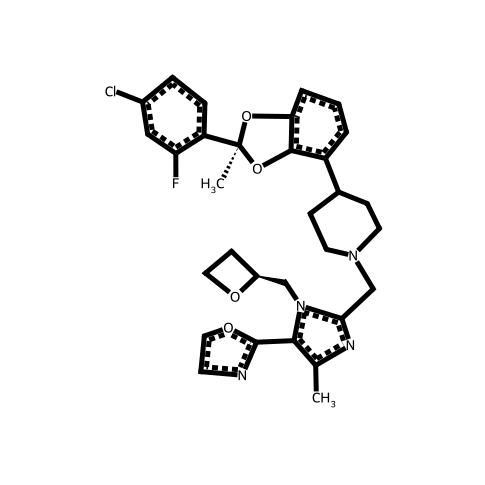 Cc1nc(CN2CCC(c3cccc4c3O[C@@](C)(c3ccc(Cl)cc3F)O4)CC2)n(C[C@@H]2CCO2)c1-c1ncco1